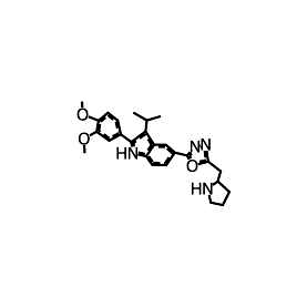 COc1ccc(-c2[nH]c3ccc(-c4nnc(CC5CCCN5)o4)cc3c2C(C)C)cc1OC